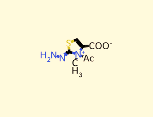 CC(=O)[N+]1(C)C(C(=O)[O-])=CSC1=NN